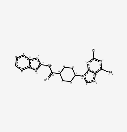 Nc1nc(Cl)nc2c1ncn2C1CCC(C(=O)Nc2nc3ccccc3s2)CC1